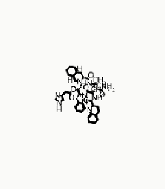 CC(C)(C)NC(=O)[C@@H]1C[C@@H]2CCCC[C@@H]2CN1C[C@@H](OC(=O)Cc1c[nH]cn1)[C@H](Cc1ccccc1)NC(=O)[C@H](CC(N)=O)NC(=O)c1ccc2ccccc2n1